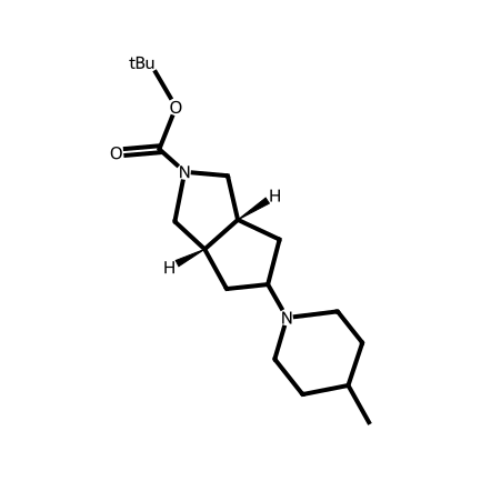 CC1CCN(C2C[C@@H]3CN(C(=O)OC(C)(C)C)C[C@@H]3C2)CC1